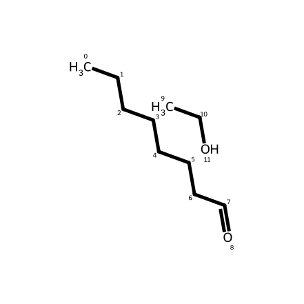 CCCCCCCC=O.CCO